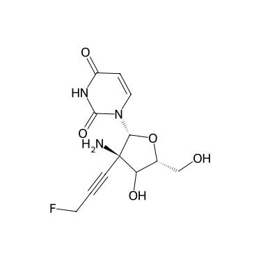 N[C@]1(C#CCF)C(O)[C@@H](CO)O[C@H]1n1ccc(=O)[nH]c1=O